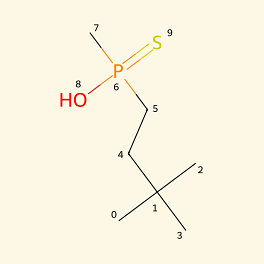 CC(C)(C)CCP(C)(O)=S